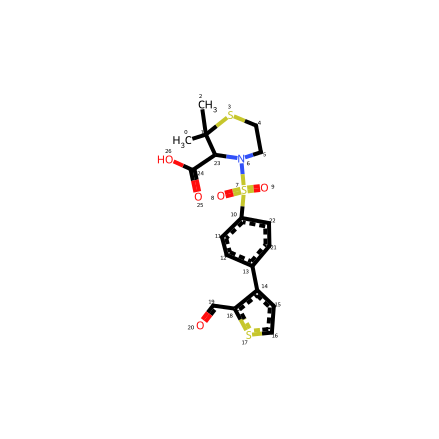 CC1(C)SCCN(S(=O)(=O)c2ccc(-c3ccsc3C=O)cc2)C1C(=O)O